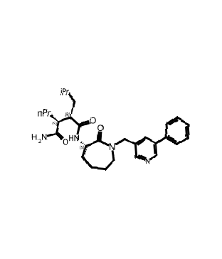 CCC[C@H](C(N)=O)[C@@H](CC(C)C)C(=O)N[C@H]1CCCCN(Cc2cncc(-c3ccccc3)c2)C1=O